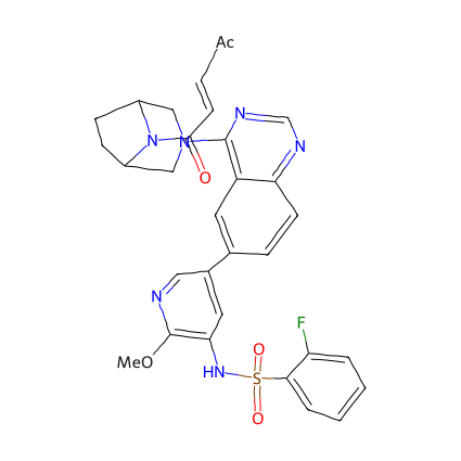 COc1ncc(-c2ccc3ncnc(N4CC5CCC(C4)N5C(=O)/C=C/C(C)=O)c3c2)cc1NS(=O)(=O)c1ccccc1F